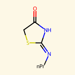 CCC/N=C1/NC(=O)CS1